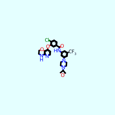 O=C(Nc1cc(N2CCN(C3COC3)CC2)cc(C(F)(F)F)c1)c1ccc(Cl)c(Oc2ccnc3c2OCCN3)c1